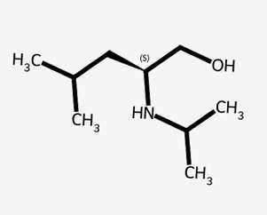 CC(C)C[C@@H](CO)NC(C)C